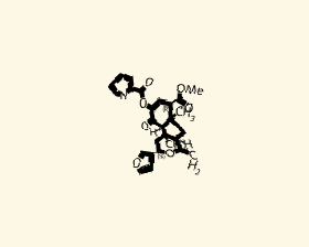 C=C1O[C@H](c2ccoc2)C[C@]2(C)[C@H]3C(=O)C(OC(=O)c4ccccn4)=C[C@@H](C(=O)OC)[C@]3(C)CC[C@@H]12